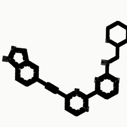 C(#Cc1ccnc(-c2ccnc(NCC3CCCCS3)n2)n1)c1ccc2[nH]ncc2c1